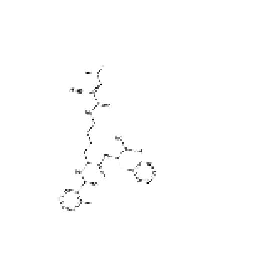 Cc1ccncc1C(=O)NC(CCCCNC(=O)C(C#N)=CC(C)C)C(=O)N[C@@H](Cc1ccccc1)B(O)O